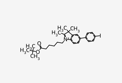 CC1=[N+](CCCCCC(=O)OC(C)(C)C)c2ccc(-c3ccc(I)cc3)cc2C1(C)C